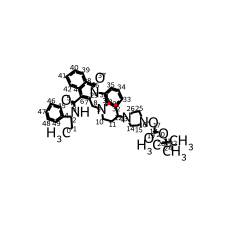 CCC(NC(=O)c1c(CN2CCC(N3CCN(OC(=O)OC(C)(C)C)CC3)CC2)n(-c2ccccc2)c(=O)c2ccccc12)c1ccccc1